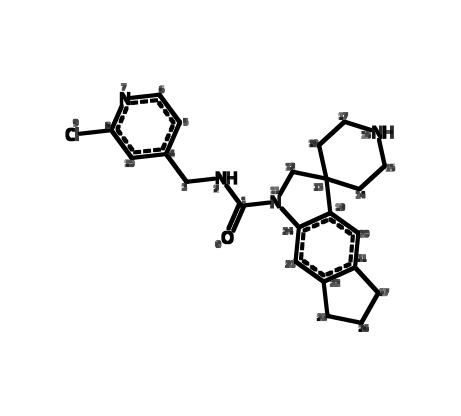 O=C(NCc1ccnc(Cl)c1)N1CC2(CCNCC2)c2cc3c(cc21)CCC3